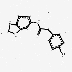 O=C(Cc1ccc(O)cc1)Oc1ccc2c(c1)OCO2